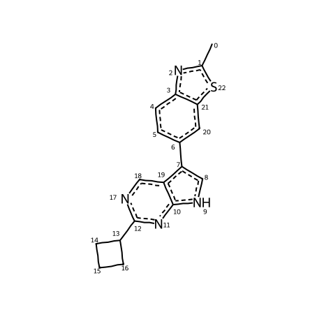 Cc1nc2ccc(-c3c[nH]c4nc(C5CCC5)ncc34)cc2s1